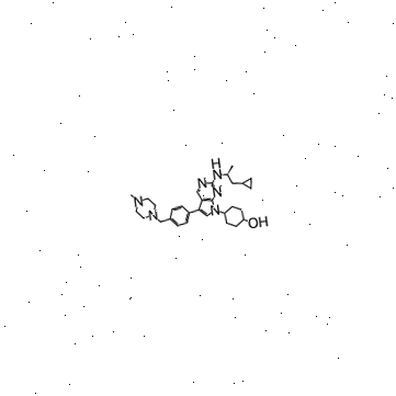 C[C@@H](CC1CC1)Nc1ncc2c(-c3ccc(CN4CCN(C)CC4)cc3)cn(C3CCC(O)CC3)c2n1